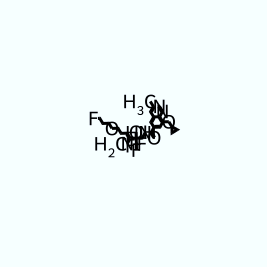 C=N/C(=C\CCOCCCF)C(O)(CNC(=O)c1cc(OC2CC2)c2nnc(C)cc2c1)C(F)(F)F